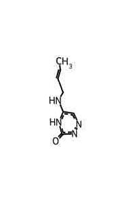 CC=CCNc1cnnc(=O)[nH]1